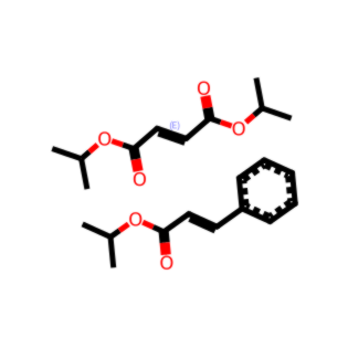 CC(C)OC(=O)/C=C/C(=O)OC(C)C.CC(C)OC(=O)C=Cc1ccccc1